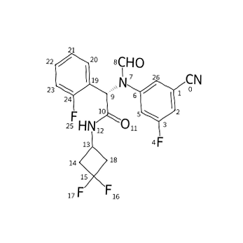 N#Cc1cc(F)cc(N(C=O)[C@H](C(=O)NC2CC(F)(F)C2)c2ccccc2F)c1